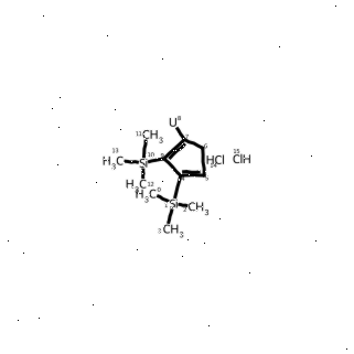 C[Si](C)(C)C1=CC[C]([U])=C1[Si](C)(C)C.Cl.Cl